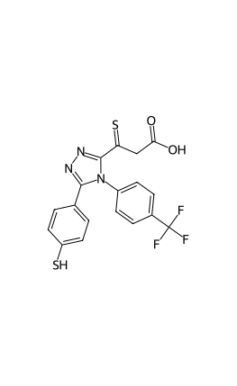 O=C(O)CC(=S)c1nnc(-c2ccc(S)cc2)n1-c1ccc(C(F)(F)F)cc1